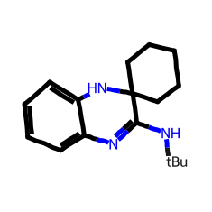 CC(C)(C)NC1=Nc2ccccc2NC12CCCCC2